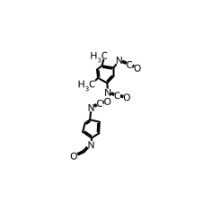 Cc1cc(C)c(N=C=O)cc1N=C=O.O=C=Nc1ccc(N=C=O)cc1